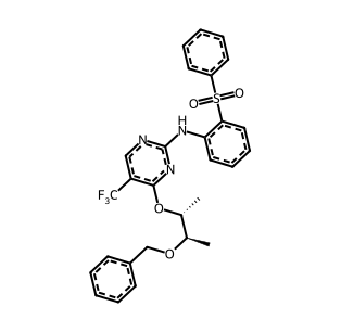 C[C@@H](OCc1ccccc1)[C@@H](C)Oc1nc(Nc2ccccc2S(=O)(=O)c2ccccc2)ncc1C(F)(F)F